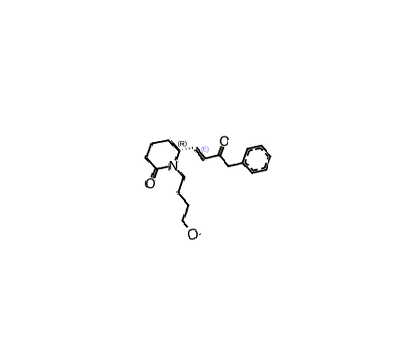 [O]CCCCN1C(=O)CCC[C@@H]1/C=C/C(=O)Cc1ccccc1